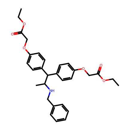 CCOC(=O)COc1ccc(C(c2ccc(OCC(=O)OCC)cc2)C(C)NCc2ccccc2)cc1